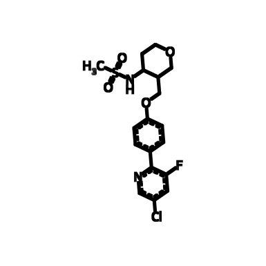 CS(=O)(=O)NC1CCOCC1COc1ccc(-c2ncc(Cl)cc2F)cc1